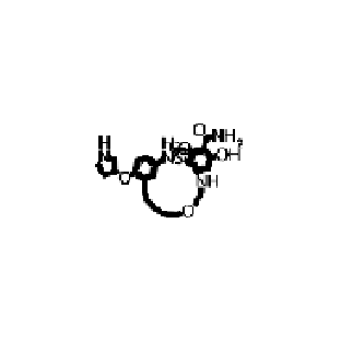 NC(=O)c1cc2c(cc1O)NCCOCCCCCc1cc(ccc1OC1CCNC1)NS2(=O)=O